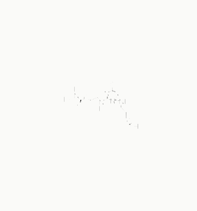 CNC(=O)OCCNc1nc(Cl)nc(NCCCOC)n1